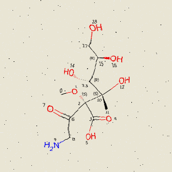 CO[C@](C(=O)O)(C(=O)CN)[C@@](C)(O)[C@H](O)[C@H](O)CO